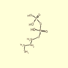 O=P(O)(O)OP(=O)(O)O[SiH2][SiH2][SiH2][SiH3]